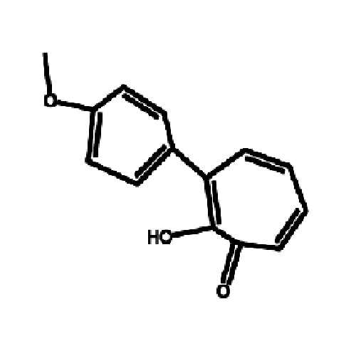 COc1ccc(-c2ccccc(=O)c2O)cc1